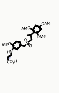 COc1cc(OC)c(C(C)CS(=O)(=O)Cc2ccc(OC)c(N/C=C/C(=O)O)c2)c(OC)c1